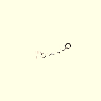 N=C1NC[C@H](CCCNC(=O)NCc2ccccc2)N1